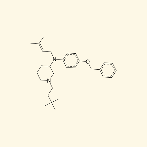 CC(C)=CCN(c1ccc(OCc2ccccc2)cc1)C1CCCN(CCC(C)(C)C)C1